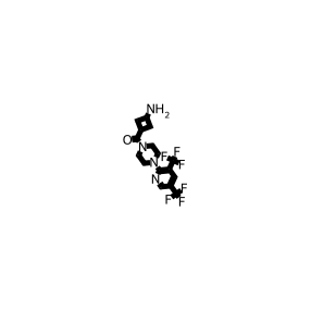 NC1CC(C(=O)N2CCN(c3ncc(C(F)(F)F)cc3C(F)(F)F)CC2)C1